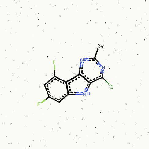 CC(C)c1nc(Cl)c2[nH]c3cc(F)cc(F)c3c2n1